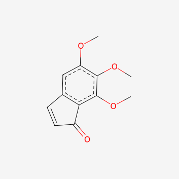 COc1cc2c(c(OC)c1OC)C(=O)C=C2